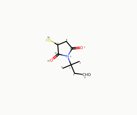 CC(C)(CC=O)N1C(=O)CC(S)C1=O